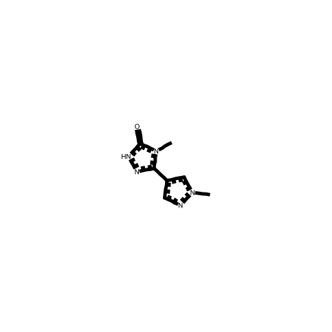 Cn1cc(-c2n[nH]c(=O)n2C)cn1